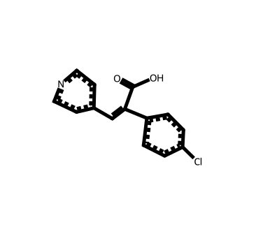 O=C(O)/C(=C\c1ccncc1)c1ccc(Cl)cc1